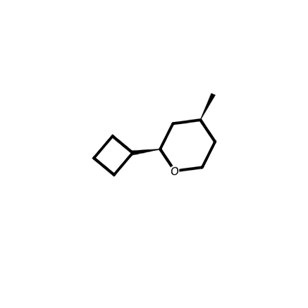 C[C@H]1CCO[C@@H](C2CCC2)C1